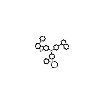 c1ccc(-c2cccc3oc4cc(N(c5ccc(-c6cccc7ccccc67)cc5)c5ccc(C6(c7ccccc7)CCCCCC6)cc5)ccc4c23)cc1